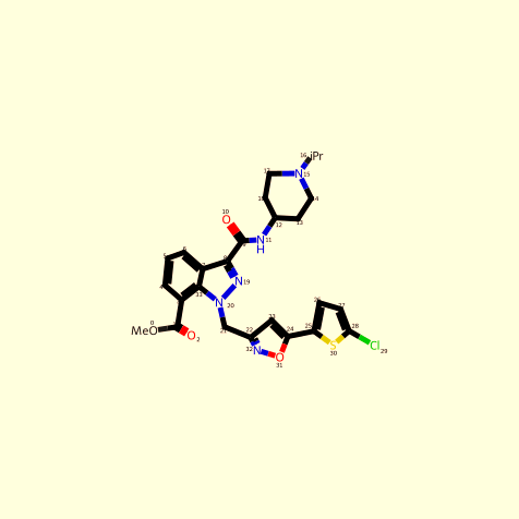 COC(=O)c1cccc2c(C(=O)NC3CCN(C(C)C)CC3)nn(Cc3cc(-c4ccc(Cl)s4)on3)c12